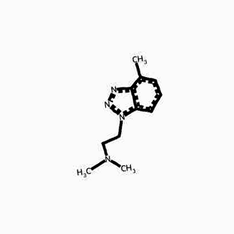 Cc1cccc2c1nnn2CCN(C)C